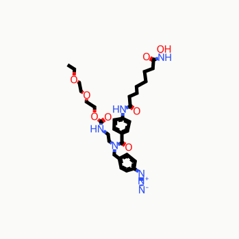 CCOCCOCCOC(=O)NCCN(Cc1ccc(N=[N+]=[N-])cc1)C(=O)c1ccc(NC(=O)CCCCCCC(=O)NO)cc1